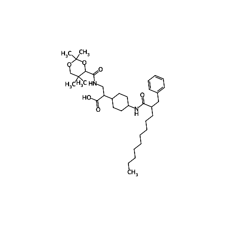 CCCCCCCCCC(Cc1ccccc1)C(=O)NC1CCC(C(CNC(=O)C2OC(C)(C)OCC2(C)C)C(=O)O)CC1